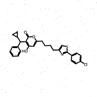 O=c1oc(CCCCc2csc(-c3ccc(Cl)cc3)n2)cc(O)c1C(c1ccccc1)C1CC1